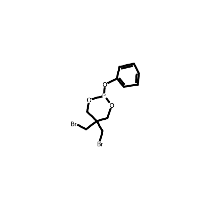 BrCC1(CBr)COP(Oc2ccccc2)OC1